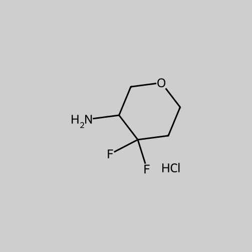 Cl.NC1COCCC1(F)F